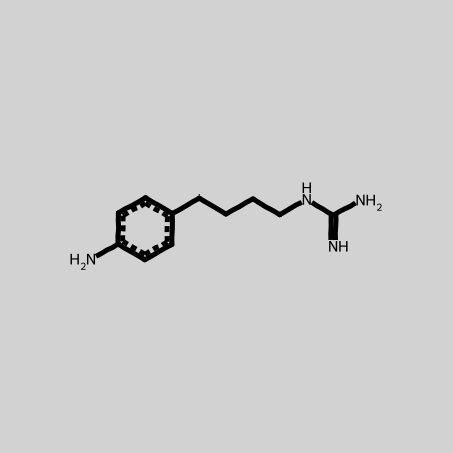 N=C(N)NCCC[CH]c1ccc(N)cc1